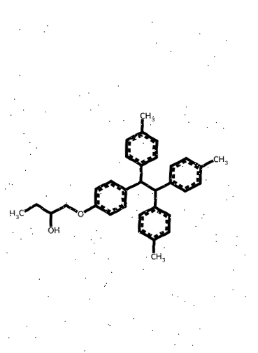 CCC(O)COc1ccc(C(c2ccc(C)cc2)C(c2ccc(C)cc2)c2ccc(C)cc2)cc1